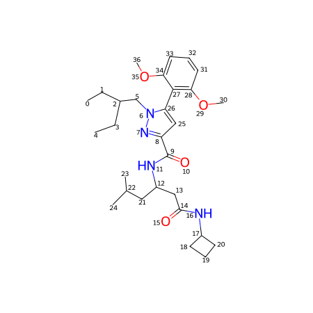 CCC(CC)Cn1nc(C(=O)NC(CC(=O)NC2CCC2)CC(C)C)cc1-c1c(OC)cccc1OC